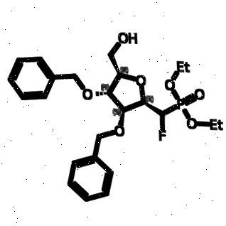 CCOP(=O)(OCC)C(F)[C@@H]1O[C@H](CO)[C@@H](OCc2ccccc2)[C@@H]1OCc1ccccc1